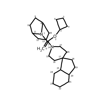 C=C(OC1CCC1)N1C2CCC1CC(N1CCC3(CCC4CCCCC43)CC1)C2